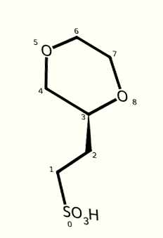 O=S(=O)(O)CC[C@H]1COCCO1